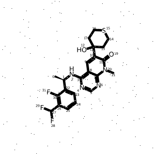 C[C@@H](Nc1ncnc2c1cc(C1(O)CCSCC1)c(=O)n2C)c1cccc(C(F)F)c1F